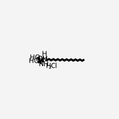 CCCCCCCCCCCCCCCCCCNC(C)(C)C(C)(N)[Si](O)(O)O.Cl